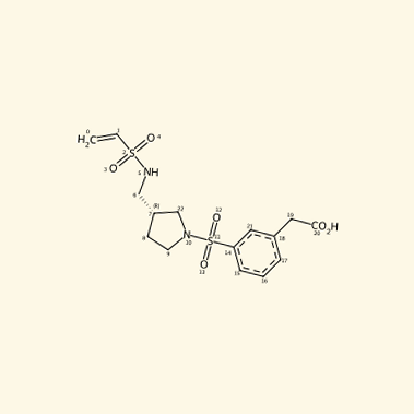 C=CS(=O)(=O)NC[C@H]1CCN(S(=O)(=O)c2cccc(CC(=O)O)c2)C1